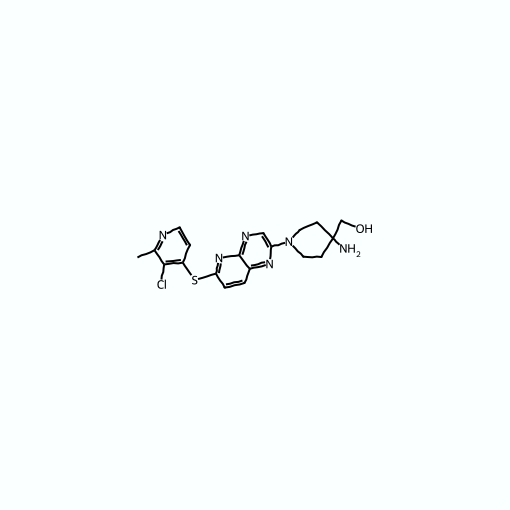 Cc1nccc(Sc2ccc3nc(N4CCC(N)(CO)CC4)cnc3n2)c1Cl